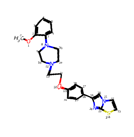 COc1ccccc1N1CCN(CCOc2ccc(-c3cn4ccsc4n3)cc2)CC1